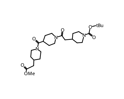 COC(=O)CC1CCN(C(=O)C2CCN(C(=O)CC3CCN(C(=O)OC(C)(C)C)CC3)CC2)CC1